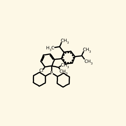 CC(C)c1ccc(C2=CC=CC(Cl)C2(C(C)C)P(C2CCCCC2)C2CCCCC2)c(C(C)C)c1